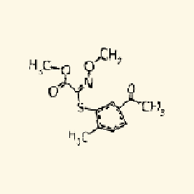 CON=C(Sc1cc(C(C)=O)ccc1C)C(=O)OC